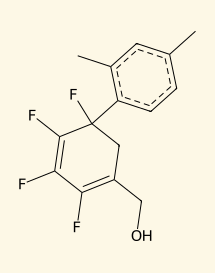 Cc1ccc(C2(F)CC(CO)=C(F)C(F)=C2F)c(C)c1